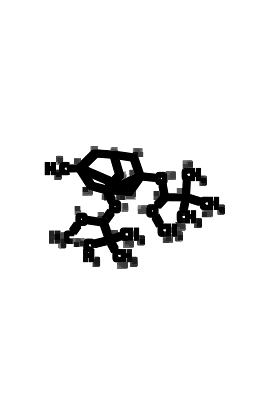 COC(OC12CC3CC(C)(C1)CC(OC(OC)C(C)(C)C)(C3)C2)C(C)(C)C